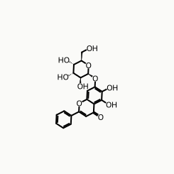 O=c1cc(-c2ccccc2)oc2cc(O[C@@H]3O[C@H](CO)[C@@H](O)[C@@H](O)[C@@H]3O)c(O)c(O)c12